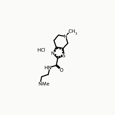 CNCCNC(=O)c1nc2c(s1)CN(C)CC2.Cl